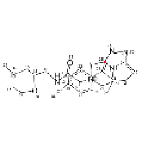 CC1C/C=C(N2CCN(CC(=O)NCC3CN(C)CCO3)CC2)/N=N\C=C/1c1ccc(F)cc1